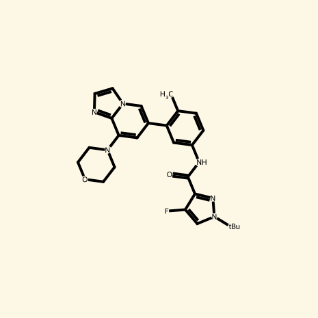 Cc1ccc(NC(=O)c2nn(C(C)(C)C)cc2F)cc1-c1cc(N2CCOCC2)c2nccn2c1